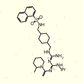 C=C(/N=C(\N=C(/N)NCC1CCC(CNS(=O)(=O)c2cccc3ccccc23)CC1)NC(C)C)N1CCCCC1C